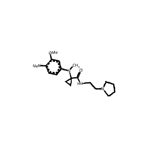 CNc1ccc(N(C)C2(C(=O)NCCN3CCCC3)CC2)cc1OC